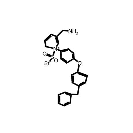 CCS(=O)(=O)[N+]1(c2ccc(Oc3ccc(Cc4ccccc4)cc3)cc2)C=C(CN)C=CC1